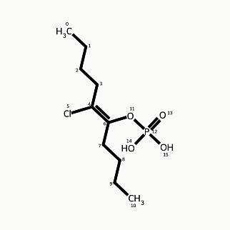 CCCCC(Cl)=C(CCCC)OP(=O)(O)O